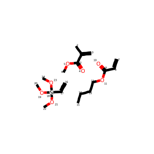 C=C(C)C(=O)OC.C=CC(=O)OCCCC.C=C[Si](OC)(OC)OC